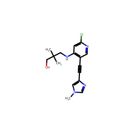 Cn1cnc(C#Cc2cnc(Cl)cc2NCC(C)(C)CO)c1